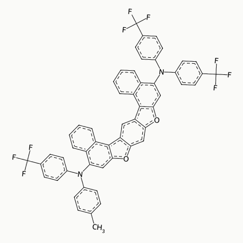 Cc1ccc(N(c2ccc(C(F)(F)F)cc2)c2cc3oc4cc5oc6cc(N(c7ccc(C(F)(F)F)cc7)c7ccc(C(F)(F)F)cc7)c7ccccc7c6c5cc4c3c3ccccc23)cc1